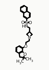 CC1(C)Cc2cccc(OCCN3CC(CNS(=O)(=O)c4ccc5ccccc5c4)C3)c2O1